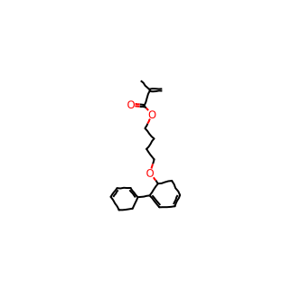 C=C(C)C(=O)OCCCCOC1CC=CC=C1C1=CC=CCC1